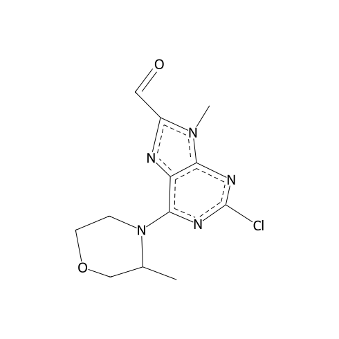 CC1COCCN1c1nc(Cl)nc2c1nc(C=O)n2C